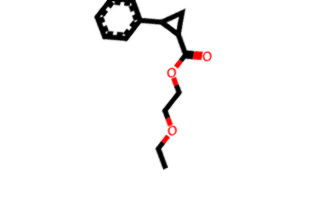 CCOCCOC(=O)C1CC1c1ccccc1